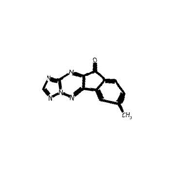 Cc1ccc2c(c1)-c1nn3ncnc3nc1C2=O